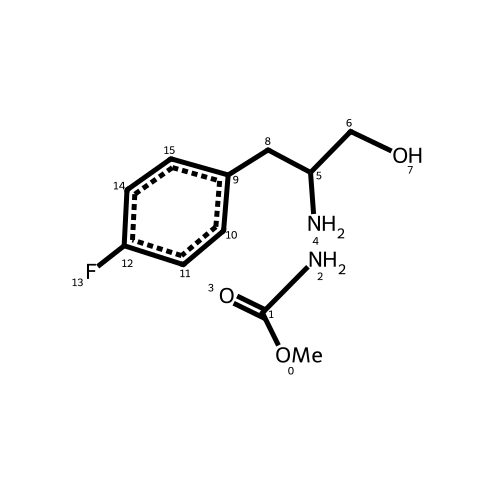 COC(N)=O.NC(CO)Cc1ccc(F)cc1